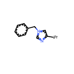 CC(C)c1cn(Cc2ccccc2)cn1